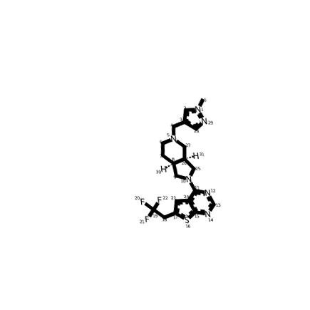 Cn1cc(CN2CC[C@@H]3CN(c4ncnc5sc(CC(F)(F)F)cc45)C[C@@H]3C2)cn1